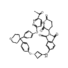 CC(=O)c1ccc(Oc2ccc(C3(c4ccc(O[C@H]5C[C@H](Nc6ccc7c(c6)C(=O)N(C6CCC(=O)NC6=O)C7=O)C5)cc4)CCOCC3)cc2)nn1